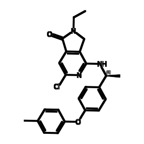 CCN1Cc2c(cc(Cl)nc2N[C@@H](C)c2ccc(Oc3ccc(C)cc3)cc2)C1=O